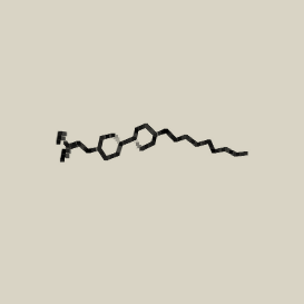 CCCCCCCCC[C@H]1CC[C@H]([C@H]2CC[C@H](CC=C(F)F)CC2)CC1